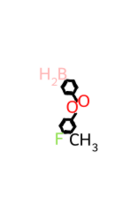 Bc1ccc(C(=O)OCc2ccc(F)c(C)c2)cc1